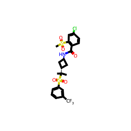 CC(C)([C@H]1C[C@H](NC(=O)c2ccc(Cl)cc2S(C)(=O)=O)C1)S(=O)(=O)c1cccc(C(F)(F)F)c1